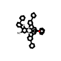 N#Cc1cc(-n2c3ccc(-c4ccccc4)cc3c3cc(-c4ccccc4)ccc32)c(-n2c3ccc(-c4ccccc4)cc3c3cc(-c4ccccc4)ccc32)c2oc3c(-c4ccccc4)cccc3c12